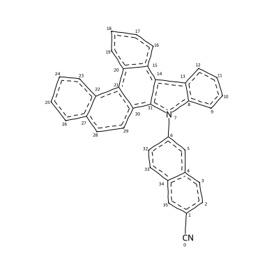 N#Cc1ccc2cc(-n3c4ccccc4c4c5ccccc5c5c6ccccc6ccc5c43)ccc2c1